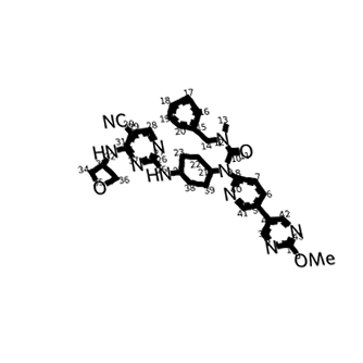 COc1ncc(-c2ccc(N(C(=O)N(C)Cc3ccccc3)C3CCC(Nc4ncc(C#N)c(NC5COC5)n4)CC3)nc2)cn1